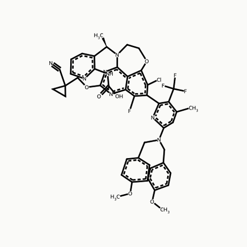 COc1ccc(CN(Cc2ccc(OC)cc2)c2cc(C)c(C(F)(F)F)c(-c3c(Cl)c4c5c(nc(OCC6(C#N)CC6)nc5c3F)N([C@H](C)c3cccnc3NC(=O)O)CCO4)n2)cc1